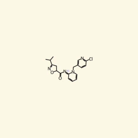 CC(C)C1=NOC(C(=O)/N=c2\ccccn2Cc2ccc(Cl)nc2)C1